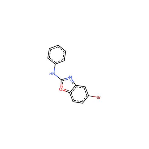 Brc1ccc2oc(Nc3ccccc3)nc2c1